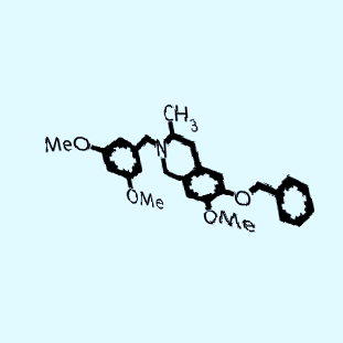 COc1cc(CN2Cc3cc(OC)c(OCc4ccccc4)cc3CC2C)cc(OC)c1